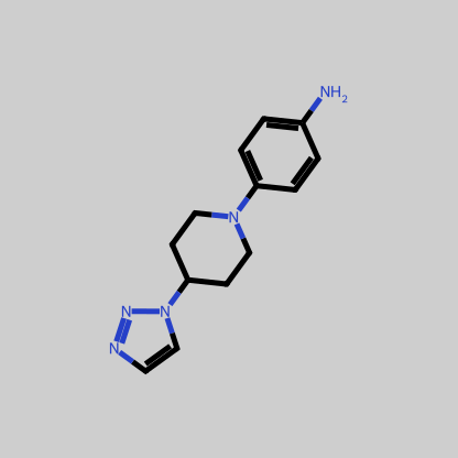 Nc1ccc(N2CCC(n3ccnn3)CC2)cc1